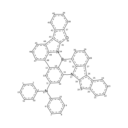 c1ccc(N(c2ccccc2)c2cc3c4c(c2)-n2c5sc6ccccc6c5c5cccc(c52)B4n2c4oc5ccccc5c4c4cccc-3c42)cc1